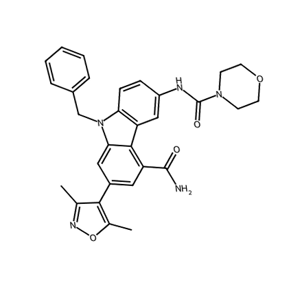 Cc1noc(C)c1-c1cc(C(N)=O)c2c3cc(NC(=O)N4CCOCC4)ccc3n(Cc3ccccc3)c2c1